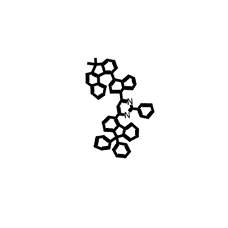 CC1(C)c2cccc(-c3ccc(-c4cc(-c5cccc6c5-c5ccccc5C6(c5ccccc5)c5ccccc5)nc(-c5ccccc5)n4)c4ccccc34)c2-c2c1ccc1ccccc21